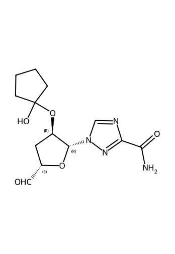 NC(=O)c1ncn([C@@H]2O[C@H](C=O)C[C@H]2OC2(O)CCCC2)n1